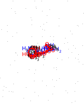 CO[C@@H]1C[C@@H](C[C@H](C)[C@@H]2CC(=O)[C@H](N)/C=C(\C)[C@@H](O)[C@@H](OC)C(=O)[C@H](C)C[C@H](N)/C=C/C=C/C=C(\C)[C@@H](O)C[C@@H]3CC[C@@H](C)[C@@](O)(O3)C(=O)C(=O)N3CCCCC3C(=O)O2)CC[C@H]1OCCOCNC(=O)OCc1ccc(NC(=O)[C@@H](CCCNC(N)=O)NC(=O)[C@H](NC(=O)CCN2C(=O)C=CC2=O)C(C)C)cc1